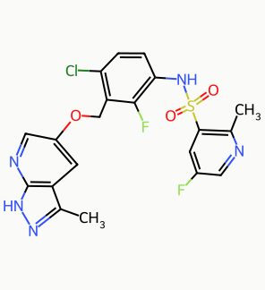 Cc1ncc(F)cc1S(=O)(=O)Nc1ccc(Cl)c(COc2cnc3[nH]nc(C)c3c2)c1F